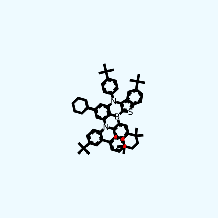 CC(C)(C)c1ccc(N2c3cc(C4CCCCC4)cc4c3B(c3cc5c(cc3N4c3ccc(C(C)(C)C)cc3-c3ccccc3)C(C)(C)CCC5(C)C)c3sc4ccc(C(C)(C)C)cc4c32)cc1